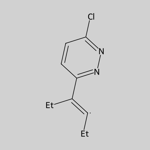 CC[C]=C(CC)c1ccc(Cl)nn1